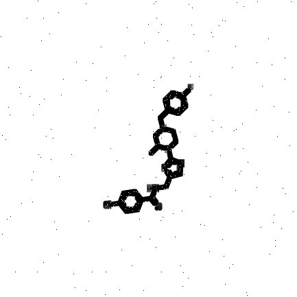 CC1CN(Cc2ccc(F)cc2)CCN1c1ncc(CNC(=O)c2ccc(Cl)cc2)s1